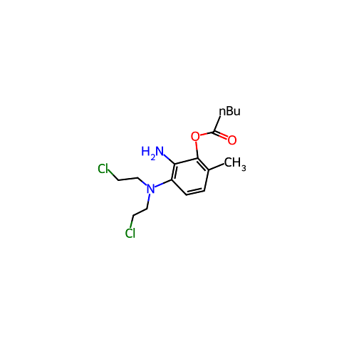 CCCCC(=O)Oc1c(C)ccc(N(CCCl)CCCl)c1N